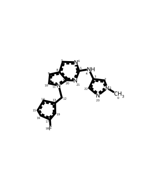 Cn1cc(Nc2ncc3ccn(Cc4cccc(F)c4)c3n2)cn1